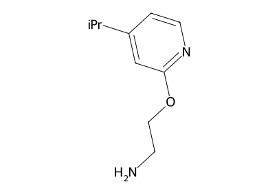 CC(C)c1ccnc(OCCN)c1